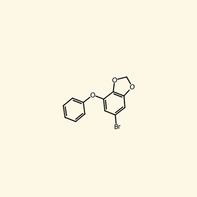 Brc1cc2c(c(Oc3ccccc3)c1)OCO2